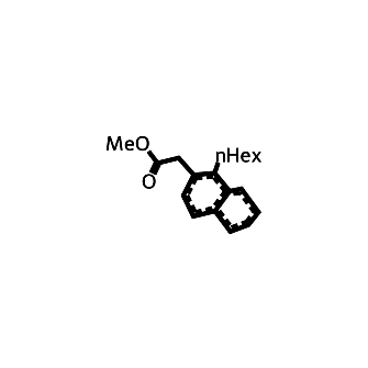 CCCCCCc1c(CC(=O)OC)ccc2ccccc12